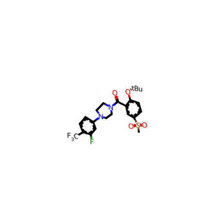 CC(C)(C)Oc1ccc(S(C)(=O)=O)cc1C(=O)N1CCN(c2ccc(C(F)(F)F)c(F)c2)CC1